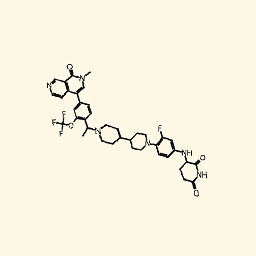 CC(c1ccc(-c2cn(C)c(=O)c3cnccc23)cc1OC(F)(F)F)N1CCC(C2CCN(c3ccc(NC4CCC(=O)NC4=O)cc3F)CC2)CC1